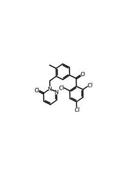 Cc1ccc(C(=O)c2c(Cl)cc(Cl)cc2Cl)cc1Cn1ncccc1=O